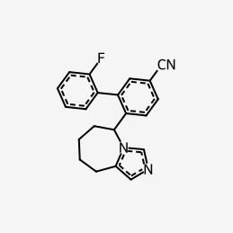 N#Cc1ccc(C2CCCCc3cncn32)c(-c2ccccc2F)c1